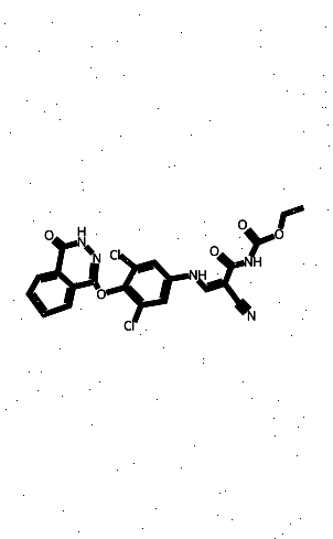 CCOC(=O)NC(=O)C(C#N)=CNc1cc(Cl)c(Oc2n[nH]c(=O)c3ccccc23)c(Cl)c1